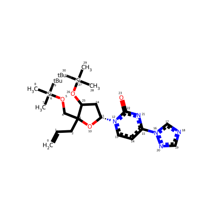 C=CCC1(CO[Si](C)(C)C(C)(C)C)O[C@@H](n2ccc(-n3cncn3)nc2=O)CC1O[Si](C)(C)C(C)(C)C